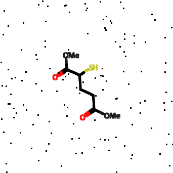 COC(=O)CCC(S)C(=O)OC